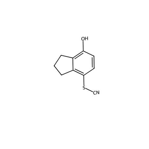 N#CSc1ccc(O)c2c1CCC2